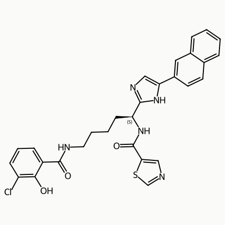 O=C(N[C@@H](CCCCNC(=O)c1cccc(Cl)c1O)c1ncc(-c2ccc3ccccc3c2)[nH]1)c1cncs1